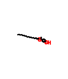 CCCCCCCCCCCCCCCCCCOC(C)c1ccc(O)cc1